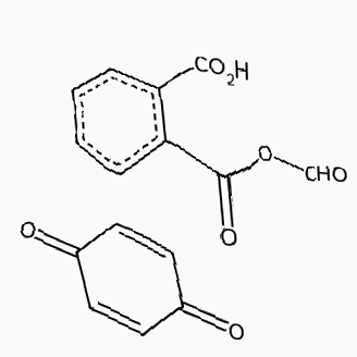 O=C1C=CC(=O)C=C1.O=COC(=O)c1ccccc1C(=O)O